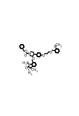 COc1ccccc1COCCCOc1ccc(C2CCN(C(=O)OCc3ccccc3)CC2OCc2cccc3c2N(C)C(=O)C3(C)C)cc1